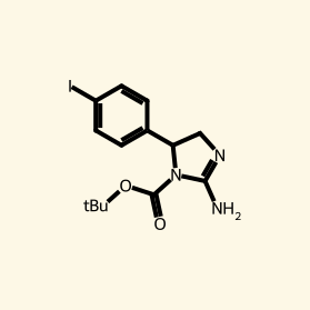 CC(C)(C)OC(=O)N1C(N)=NCC1c1ccc(I)cc1